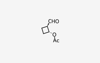 CC(=O)O[C@@H]1CC[C@H]1C=O